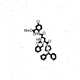 COC(=O)c1cc(Cl)ccc1NC(=O)C(CCC(=O)N1CCN(C(c2ccccc2)c2ccccc2)CC1)NC(=O)OCc1ccccc1